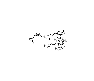 CCCCC(CC)(CC)C(=O)[O-].CCCCC(CC)(CC)C(=O)[O-].CCC[CH2][Sn+2][CH2]CCC